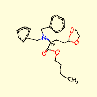 CCCCOC(=O)[C@H](CCC1OCCO1)N(Cc1ccccc1)Cc1ccccc1